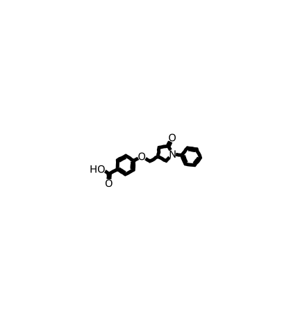 O=C(O)c1ccc(OCC2CC(=O)N(c3ccccc3)C2)cc1